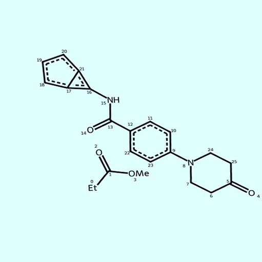 CCC(=O)OC.O=C1CCN(c2ccc(C(=O)Nc3c4cccc3-4)cc2)CC1